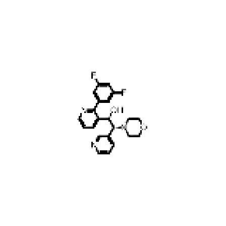 O[C@H](c1cccnc1-c1cc(F)cc(F)c1)[C@H](c1cccnc1)N1CCOCC1